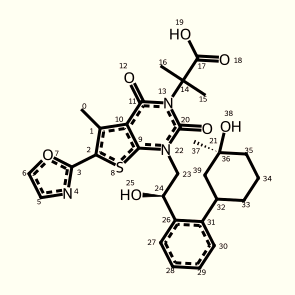 Cc1c(-c2ncco2)sc2c1c(=O)n(C(C)(C)C(=O)O)c(=O)n2C[C@H](O)c1ccccc1C1CCC[C@](C)(O)C1